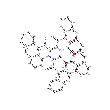 C=C(c1nc(C(=C)c2c3ccccc3cc3ccccc23)c(C(=C)c2c3ccccc3cc3ccccc23)nc1C(=C)c1c2ccccc2cc2ccccc12)c1c2ccccc2cc2ccccc12